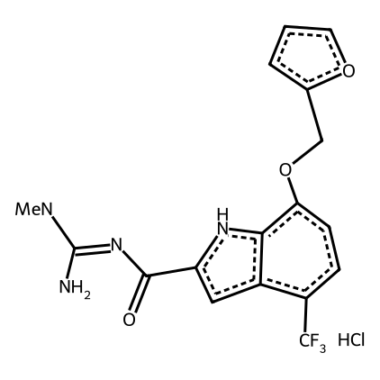 CNC(N)=NC(=O)c1cc2c(C(F)(F)F)ccc(OCc3ccco3)c2[nH]1.Cl